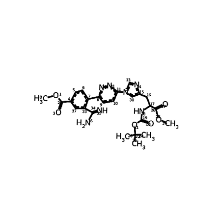 COC(=O)c1ccc(-c2ccc(-n3cnc(CC(NC(=O)OC(C)(C)C)C(=O)OC)c3)nn2)c(C(=N)N)c1